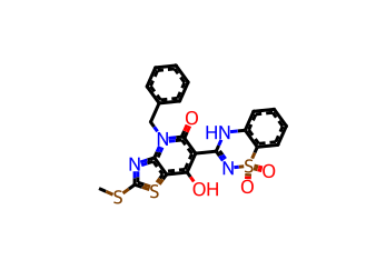 CSc1nc2c(s1)c(O)c(C1=NS(=O)(=O)c3ccccc3N1)c(=O)n2Cc1ccccc1